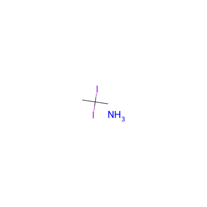 CC(C)(I)I.N